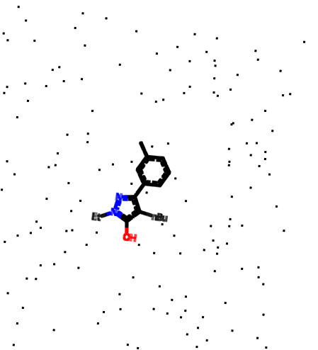 CCCCc1c(-c2cccc(C)c2)nn(CC)c1O